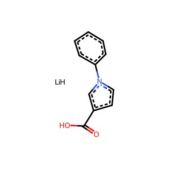 O=C(O)c1ccn(-c2ccccc2)c1.[LiH]